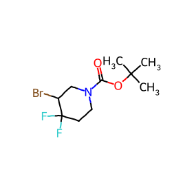 CC(C)(C)OC(=O)N1CCC(F)(F)C(Br)C1